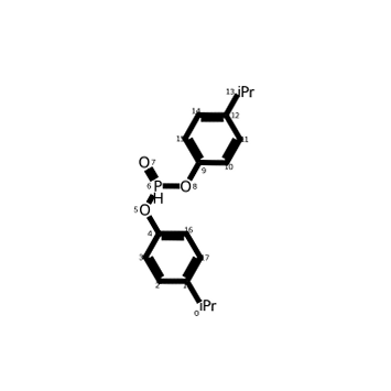 CC(C)c1ccc(O[PH](=O)Oc2ccc(C(C)C)cc2)cc1